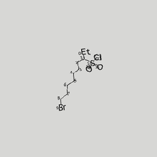 CCC(CCCCCCCBr)S(=O)(=O)Cl